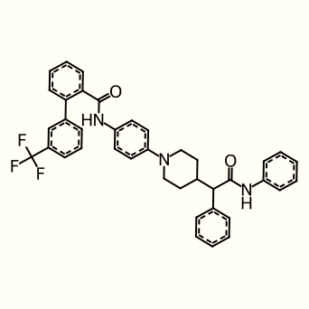 O=C(Nc1ccc(N2CCC(C(C(=O)Nc3ccccc3)c3ccccc3)CC2)cc1)c1ccccc1-c1cccc(C(F)(F)F)c1